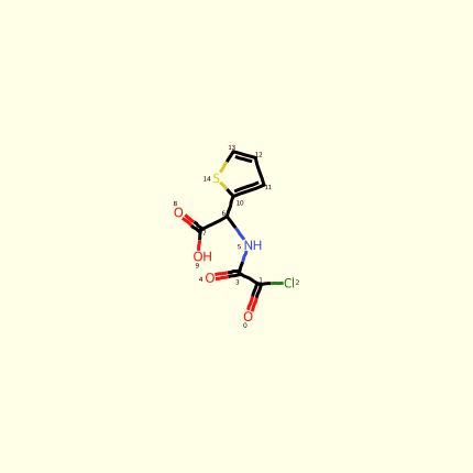 O=C(Cl)C(=O)NC(C(=O)O)c1cccs1